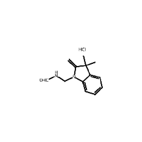 C=C1N(CNC=O)c2ccccc2C1(C)C.Cl